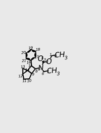 CCOC(=O)N(CC)C1C2CCC3CC32C1c1ccccc1